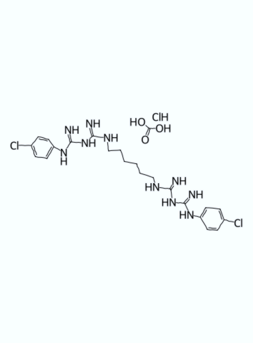 Cl.N=C(NCCCCCCNC(=N)NC(=N)Nc1ccc(Cl)cc1)NC(=N)Nc1ccc(Cl)cc1.O=C(O)O